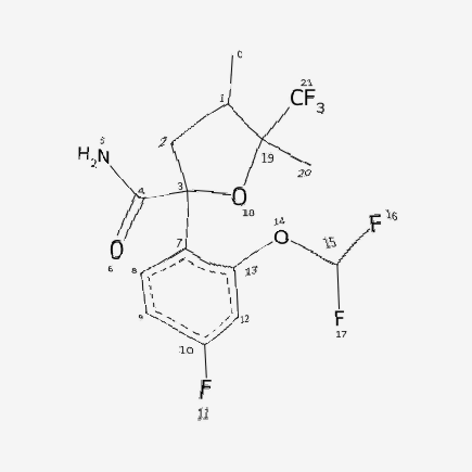 CC1CC(C(N)=O)(c2ccc(F)cc2OC(F)F)OC1(C)C(F)(F)F